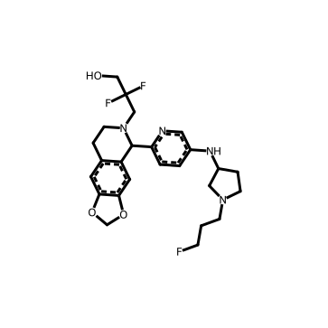 OCC(F)(F)CN1CCc2cc3c(cc2C1c1ccc(NC2CCN(CCCF)C2)cn1)OCO3